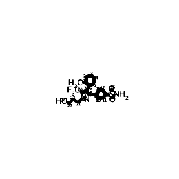 Cc1ccccc1-c1c(-c2ccc(S(N)(=O)=O)cc2)nn(CCCO)c1C(F)(F)F